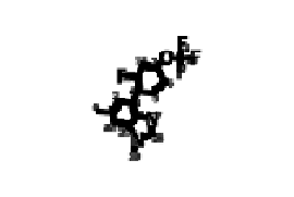 Cc1cc(-c2ccc(OC(F)(F)F)cc2F)c2ncn(C)c2c1